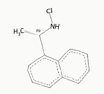 C[C@H](NCl)c1cccc2ccccc12